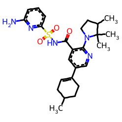 CC1CC=C(c2cnc(N3CCC(C)C3(C)C)c(C(=O)NS(=O)(=O)c3cccc(N)n3)c2)CC1